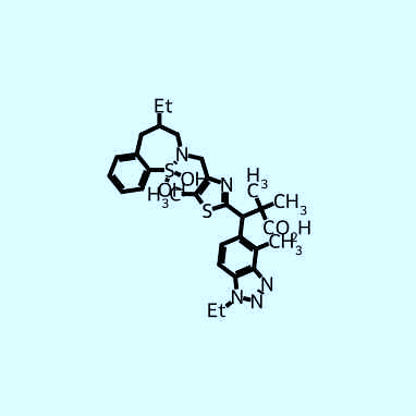 CCC1Cc2ccccc2S(O)(O)N(Cc2nc(C(c3ccc4c(nnn4CC)c3C)C(C)(C)C(=O)O)sc2C)C1